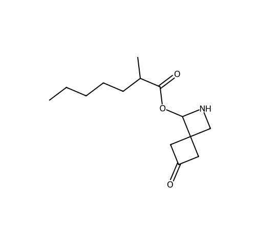 CCCCCC(C)C(=O)OC1NCC12CC(=O)C2